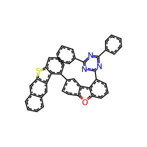 c1ccc(-c2nc(-c3ccccc3)nc(-c3cccc4oc5ccc(-c6cccc7sc8cc9ccccc9cc8c67)cc5c34)n2)cc1